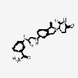 C=C1c2ccc(NCC(=O)Nc3cccc(C(N)=O)c3)cc2CN1C1CCC(=O)NC1=O